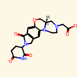 O=C(O)CN1CCN2c3cc4c(cc3OC[C@@H]2C1)C(=O)N(C1CCC(=O)NC1=O)C4